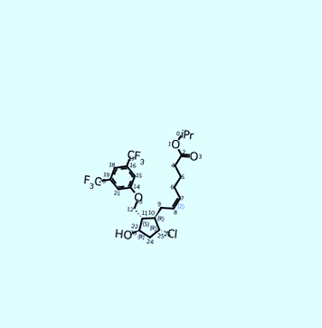 CC(C)OC(=O)CCC/C=C\C[C@@H]1[C@@H](COc2cc(C(F)(F)F)cc(C(F)(F)F)c2)[C@H](O)C[C@H]1Cl